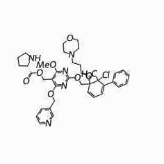 COc1nc(OCC2(OCCCN3CCOCC3)C=CC=C(c3ccccc3)C2(C)Cl)nc(OCc2cccnc2)c1COC(=O)[C@@H]1CCCN1